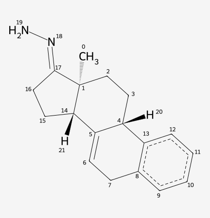 C[C@]12CC[C@H]3C(=CCc4ccccc43)[C@@H]1CCC2=NN